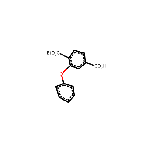 CCOC(=O)c1ccc(C(=O)O)cc1Oc1ccccc1